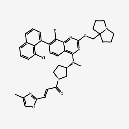 Cc1noc(/C=C/C(=O)N2CC[C@@H](N(C)c3nc(OCC45CCCN4CCC5)nc4c(F)c(-c5cccc6cccc(Cl)c56)ncc34)C2)n1